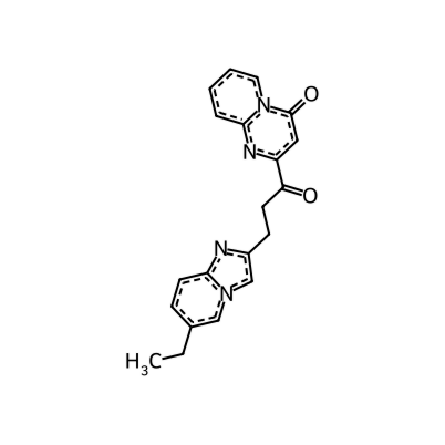 CCc1ccc2nc(CCC(=O)c3cc(=O)n4ccccc4n3)cn2c1